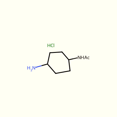 CC(=O)NC1CCC(N)CC1.Cl